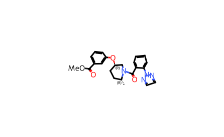 COC(=O)c1cccc(O[C@@H]2CC[C@@H](C)N(C(=O)c3ccccc3-n3nccn3)C2)c1